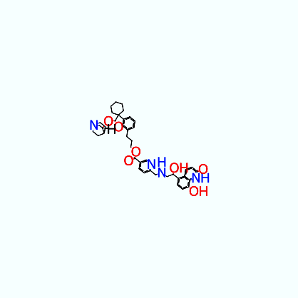 O=C(OCCCc1cccc(C2(C(=O)O[C@H]3CN4CCC3CC4)CCCCC2)c1)c1ccc(CNCC(O)c2ccc(O)c3[nH]c(=O)ccc23)nc1